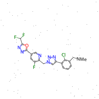 CNCc1cccc(-c2cn(Cc3ncc(-c4nnc(C(F)F)o4)cc3F)nn2)c1Cl